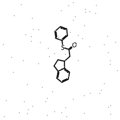 O=C(CC1CCc2ccccc21)Sc1ccccc1